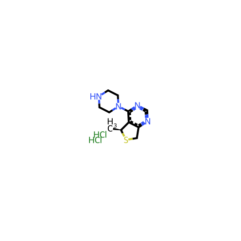 C[C@@H]1SCc2ncnc(N3CCNCC3)c21.Cl.Cl